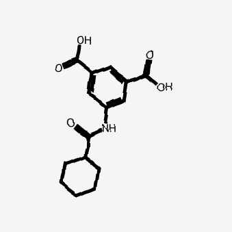 O=C(O)c1cc(NC(=O)C2CCCCC2)cc(C(=O)O)c1